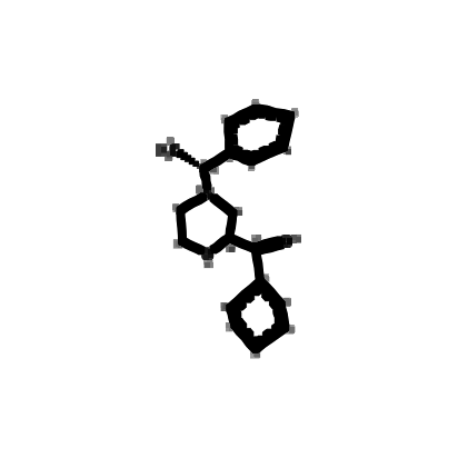 C[C@H](c1ccccc1)N1CCOC(C(=O)c2ccccc2)C1